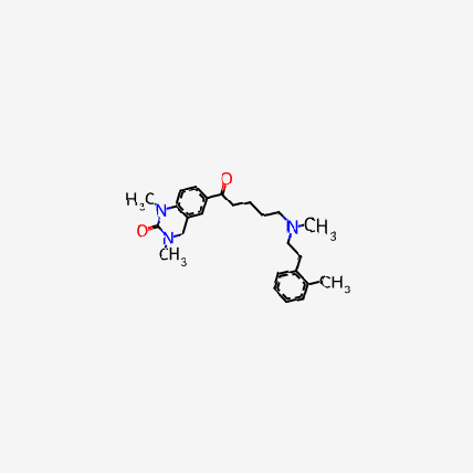 Cc1ccccc1CCN(C)CCCCC(=O)c1ccc2c(c1)CN(C)C(=O)N2C